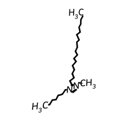 CCCCCCCCCCCCCCCCCCCc1n(CCCCCCC)cc[n+]1CC